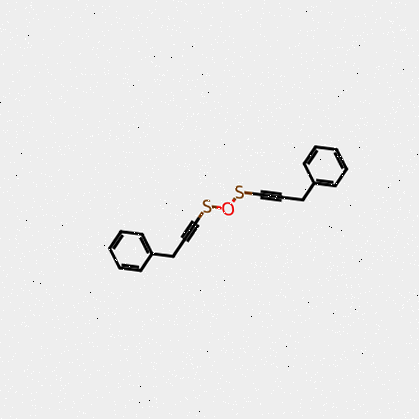 C(#CSOSC#CCc1ccccc1)Cc1ccccc1